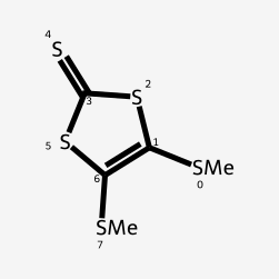 CSc1sc(=S)sc1SC